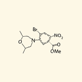 COC(=O)c1cc(N2CC(C)OC(C)C2)c(Br)cc1[N+](=O)[O-]